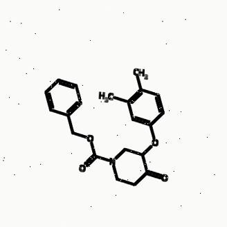 Cc1ccc(OC2CN(C(=O)OCc3ccccc3)CCC2=O)cc1C